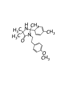 COc1ccc(CCN2C(=O)C(C)(C)NC2(C)C2C=CC(C)=CC2)cc1